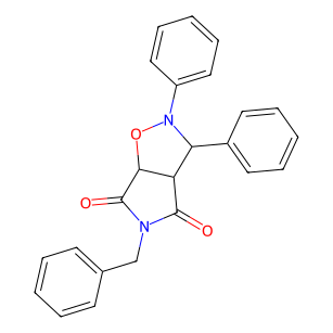 O=C1C2ON(c3ccccc3)C(c3ccccc3)C2C(=O)N1Cc1ccccc1